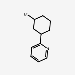 CCC1CCCC(c2ccccn2)C1